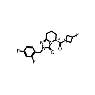 O=C([C@@H]1CCCc2nn(Cc3ccc(F)cc3F)c(=O)n21)N1CC(F)C1